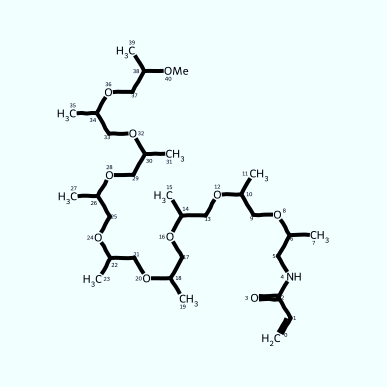 C=CC(=O)NCC(C)OCC(C)OCC(C)OCC(C)OCC(C)OCC(C)OCC(C)OCC(C)OCC(C)OC